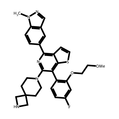 COCCOc1cc(F)ccc1-c1c(N2CCC3(CC2)CNC3)nc(-c2ccc3c(cnn3C)c2)c2ccsc12